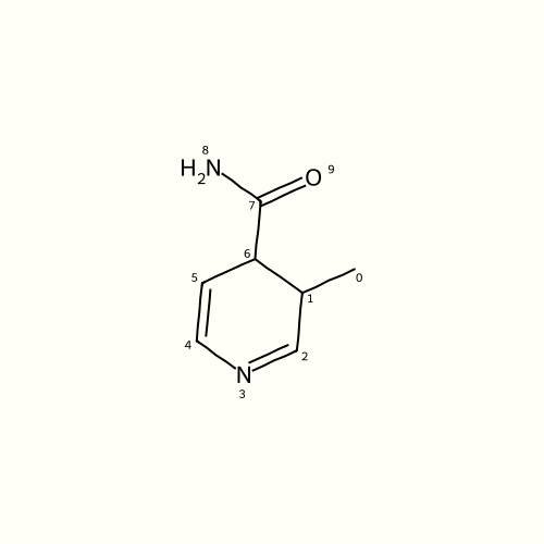 CC1C=NC=CC1C(N)=O